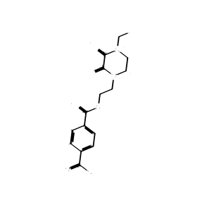 N=C(N)c1ccc(C(=O)NCCN2CCN(CC(=O)O)C(=O)C2=O)cc1